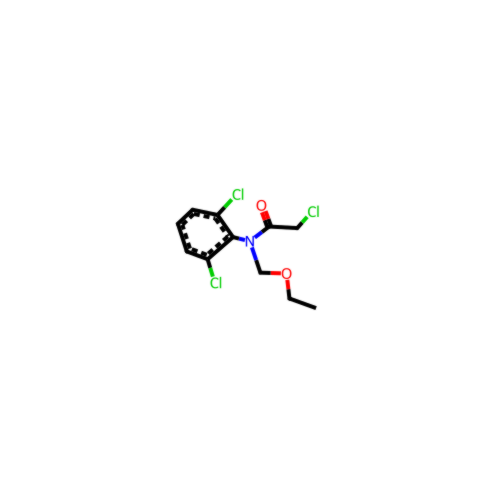 CCOCN(C(=O)CCl)c1c(Cl)cccc1Cl